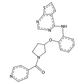 O=C(c1ccncc1)N1CCC(Oc2ccccc2Nc2ncnc3sccc23)C1